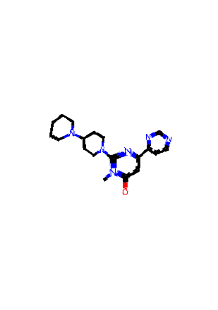 Cn1c(N2CCC(N3CCCCC3)CC2)nc(-c2ccncn2)cc1=O